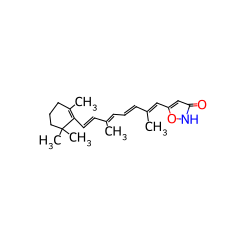 CC1=C(/C=C/C(C)=C/C=C/C(C)=C/c2cc(=O)[nH]o2)C(C)(C)CCC1